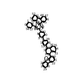 c1ccc(-c2nc(-c3ccc(-c4ccc(-c5ccc(-c6cccc7c6oc6ccccc67)c6ccccc56)cc4)cc3)nc(-c3ccccc3-c3ccccc3)n2)cc1